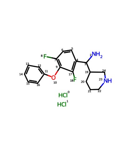 Cl.Cl.NC(c1ccc(F)c(Oc2ccccc2)c1F)C1CCCNC1